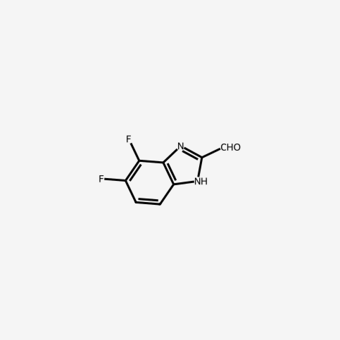 O=Cc1nc2c(F)c(F)ccc2[nH]1